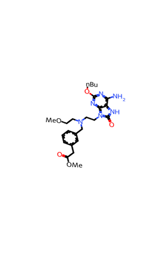 CCCCOc1nc(N)c2[nH]c(=O)n(CCN(CCOC)Cc3cccc(CC(=O)OC)c3)c2n1